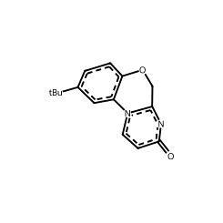 CC(C)(C)c1ccc2c(c1)-n1ccc(=O)nc1CO2